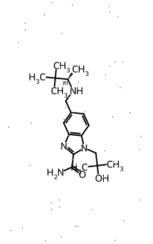 C[C@@H](NCc1ccc2c(c1)nc(C(N)=O)n2CC(C)(C)O)C(C)(C)C